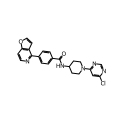 O=C(NC1CCN(c2cc(Cl)ncn2)CC1)c1ccc(-c2nccc3occc23)cc1